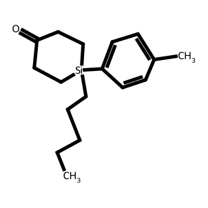 CCCCC[Si]1(c2ccc(C)cc2)CCC(=O)CC1